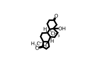 C[C@]12CC[C@@H]3[C@@H](CCC4(O)CC(=O)CC[C@]34C)[C@@H]1CCC2=O